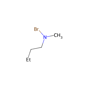 CCCCN(C)Br